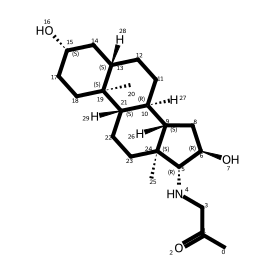 CC(=O)CN[C@H]1[C@H](O)C[C@H]2[C@@H]3CC[C@H]4C[C@@H](O)CC[C@]4(C)[C@H]3CC[C@@]21C